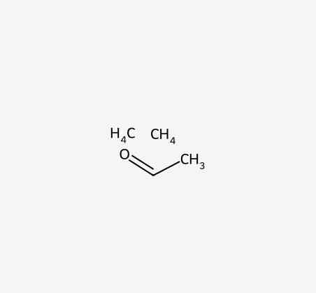 C.C.CC=O